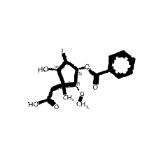 CO[C@H]1[C@H](OC(=O)c2ccccc2)C(I)[C@H](O)C1(C)CC(=O)O